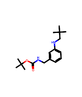 CC(C)(C)CNc1cccc(CNC(=O)OC(C)(C)C)c1